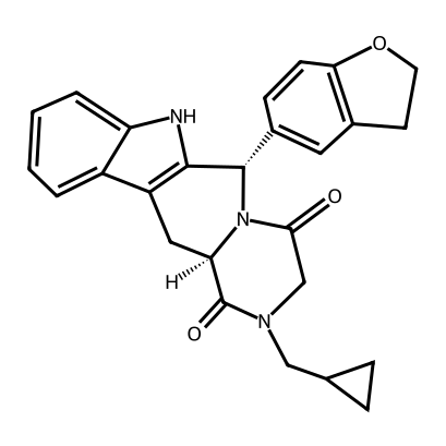 O=C1[C@H]2Cc3c([nH]c4ccccc34)[C@H](c3ccc4c(c3)CCO4)N2C(=O)CN1CC1CC1